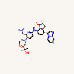 CN(C)Cc1nc(Nc2ccc(-c3cnc4cc(F)ccn34)c3c2C(=O)NC3)ccc1N1CCO[C@@H](C(C)(C)O)C1